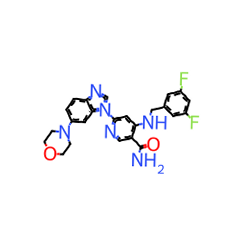 NC(=O)c1cnc(-n2cnc3ccc(N4CCOCC4)cc32)cc1NCc1cc(F)cc(F)c1